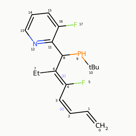 C=C/C=C\C(F)=C(/CC)C(PC(C)(C)C)c1ncccc1F